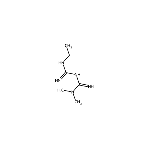 CCNC(=N)NC(=N)N(C)C